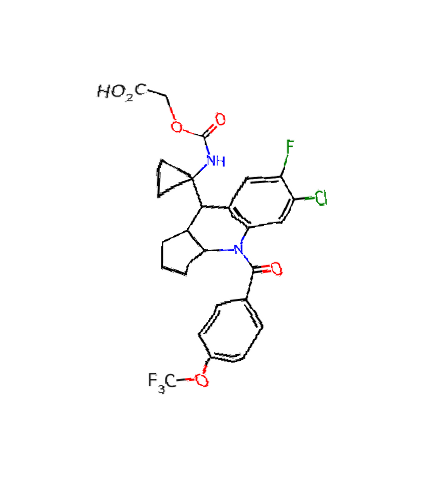 O=C(O)COC(=O)NC1(C2c3cc(F)c(Cl)cc3N(C(=O)c3ccc(OC(F)(F)F)cc3)C3CCCC32)CC1